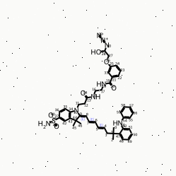 CC(C)(C/C=C/C=C/C=C1/N(CCC(=O)NCCNC(=O)c2cccc(OCC(O)N=[N+]=[N-])c2)c2ccc(S(N)(=O)=O)cc2C1(C)C)c1ccccc1Nc1ccccc1